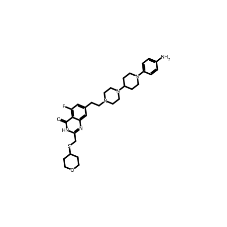 Nc1ccc(N2CCC(N3CCN(CCc4cc(F)c5c(=O)[nH]c(CSC6CCOCC6)nc5c4)CC3)CC2)cc1